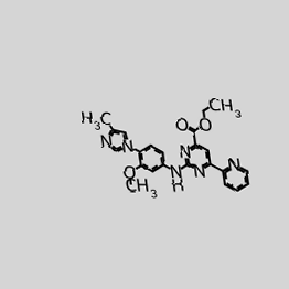 CCOC(=O)c1cc(-c2ccccn2)nc(Nc2ccc(-n3cnc(C)c3)c(OC)c2)n1